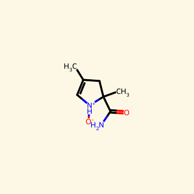 CC1=C[NH+]([O-])C(C)(C(N)=O)C1